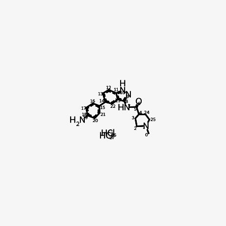 CN1CCC(C(=O)Nc2n[nH]c3ccc(-c4ccc(N)cc4)cc23)CC1.Cl.Cl